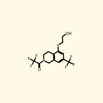 O=C(N1CCc2c(cc(C(F)(F)F)cc2SCCO)C1)C(F)(F)F